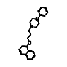 c1ccc(N2CCN(CCCOc3cccc4ccccc34)CC2)cc1